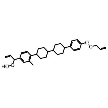 C=CCOOc1ccc(C2CCC(C3CCC(c4ccc(C(C=C)OO)cc4C)CC3)CC2)cc1